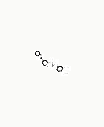 O=C(Nc1ccc(O)c(O)c1)Nc1cc(-c2nc3ccccc3o2)ccn1